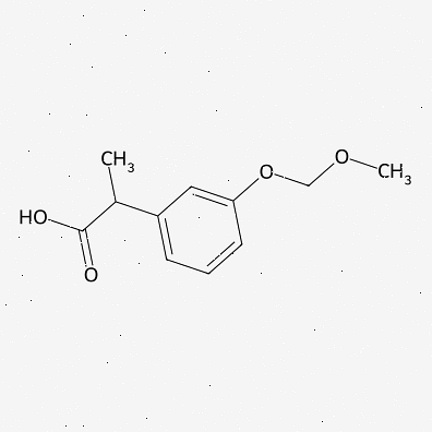 COCOc1cccc(C(C)C(=O)O)c1